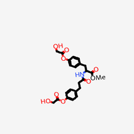 COC(=O)C(Cc1ccc(OC(=O)CO)cc1)NC(=O)CCc1ccc(OC(=O)CO)cc1